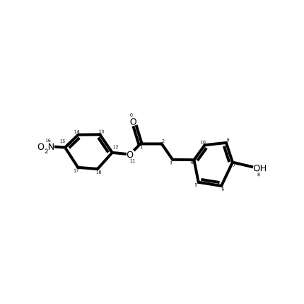 O=C(CCc1ccc(O)cc1)OC1=CC=C([N+](=O)[O-])CC1